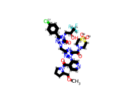 COCC1CCCN1C(=O)c1ccncc1-n1nc(Cn2nc(-c3ccc(Cl)cc3)n(C[C@H](O)C(F)(F)F)c2=O)nc1C(=O)N1CCS(=O)(=O)CC1